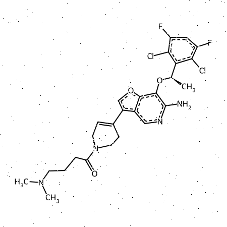 C[C@@H](Oc1c(N)ncc2c(C3=CCN(C(=O)CCCN(C)C)CC3)coc12)c1c(Cl)c(F)cc(F)c1Cl